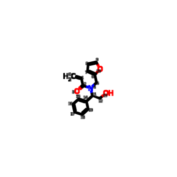 C=CC(=O)N(Cc1ccco1)[C@@H](CO)c1ccccc1